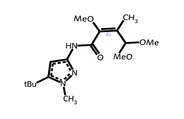 CO/C(C(=O)Nc1cc(C(C)(C)C)n(C)n1)=C(\C)C(OC)OC